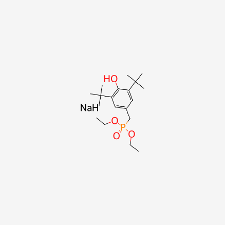 CCOP(=O)(Cc1cc(C(C)(C)C)c(O)c(C(C)(C)C)c1)OCC.[NaH]